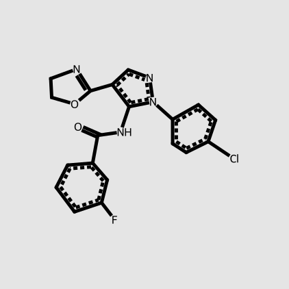 O=C(Nc1c(C2=NCCO2)cnn1-c1ccc(Cl)cc1)c1cccc(F)c1